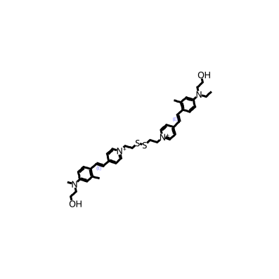 CCN(CCO)c1ccc(/C=C/c2cc[n+](CCSSCC[n+]3ccc(/C=C/c4ccc(N(C)CCO)cc4C)cc3)cc2)c(C)c1